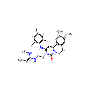 COc1cc2c(cc1OC)-c1c/c(=N\c3c(C)cc(C)cc3C)n(CCN/C(=C/[N+](=O)[O-])NC(C)C)c(=O)n1CC2